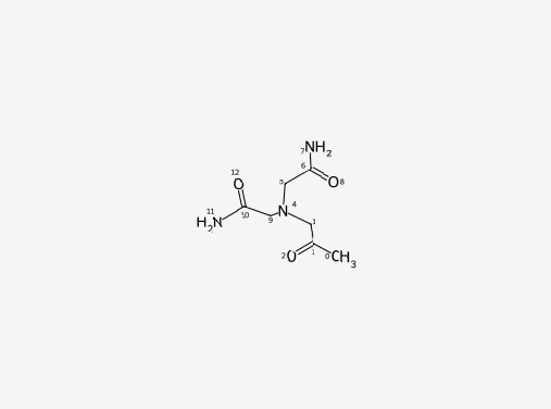 CC(=O)CN(CC(N)=O)CC(N)=O